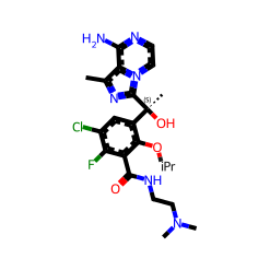 Cc1nc([C@@](C)(O)c2cc(Cl)c(F)c(C(=O)NCCN(C)C)c2OC(C)C)n2ccnc(N)c12